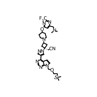 CN(C)Cc1cc(OC2CCN([C@H]3C[C@@](CC#N)(n4cc(-c5ncnc6c5ccn6COCC[Si](C)(C)C)cn4)C3)CC2)nc(C(F)(F)F)n1